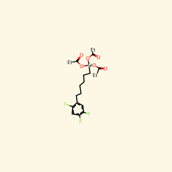 CCC(=O)O[Si](CCCCCCc1cc(F)c(F)cc1F)(OC(=O)CC)OC(=O)CC